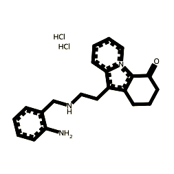 Cl.Cl.Nc1ccccc1CNCCc1c2c(n3ccccc13)C(=O)CCC2